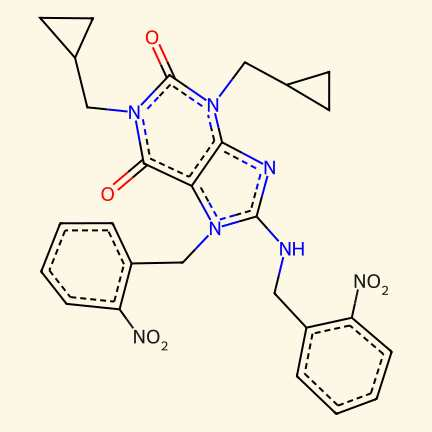 O=c1c2c(nc(NCc3ccccc3[N+](=O)[O-])n2Cc2ccccc2[N+](=O)[O-])n(CC2CC2)c(=O)n1CC1CC1